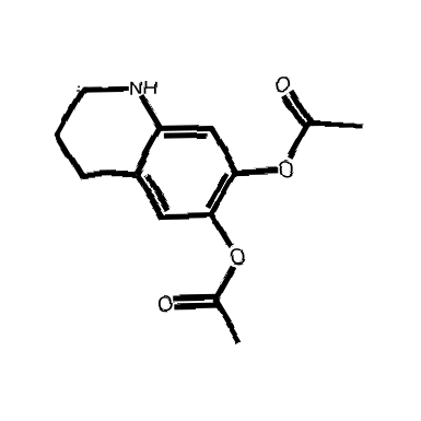 CC(=O)Oc1cc2c(cc1OC(C)=O)N[C]CC2